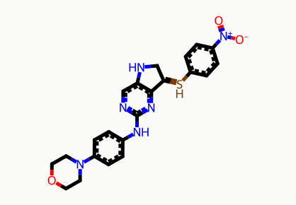 O=[N+]([O-])c1ccc([SH]=C2CNc3cnc(Nc4ccc(N5CCOCC5)cc4)nc32)cc1